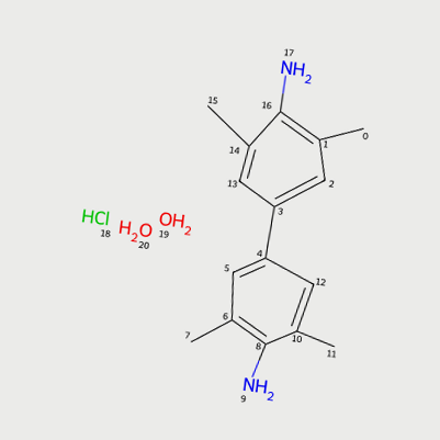 Cc1cc(-c2cc(C)c(N)c(C)c2)cc(C)c1N.Cl.O.O